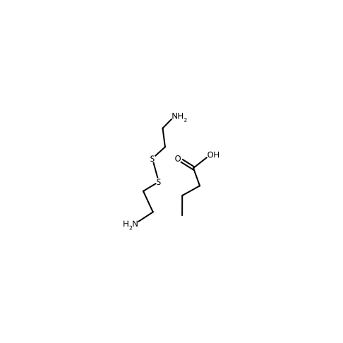 CCCC(=O)O.NCCSSCCN